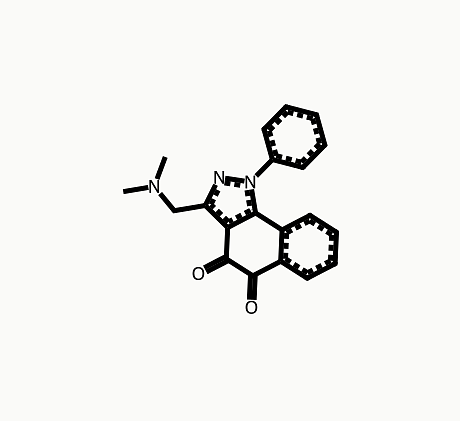 CN(C)Cc1nn(-c2ccccc2)c2c1C(=O)C(=O)c1ccccc1-2